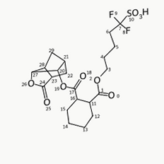 O=C(OCCCCC(F)(F)S(=O)(=O)O)C1CCCCC1C(=O)OC1C2CC3C(=O)OC1C3C2